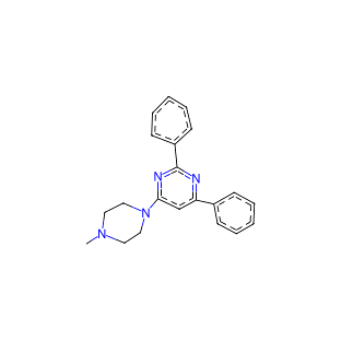 CN1CCN(c2cc(-c3ccccc3)nc(-c3ccccc3)n2)CC1